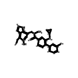 CN(Cc1c[n+](O)c(CF)c2cn[nH]c12)C(=O)c1ccc(-c2cccc(F)c2)c(OC2CC2)c1